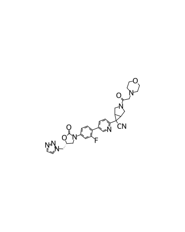 N#CC1(c2ccc(-c3ccc(N4C[C@H](Cn5ccnn5)OC4=O)cc3F)cn2)C2CN(C(=O)CN3CCOCC3)CC21